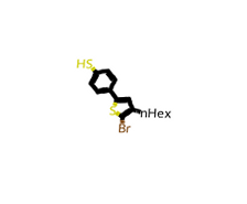 CCCCCCc1cc(-c2ccc(S)cc2)sc1Br